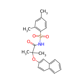 Cc1ccc(S(=O)(=O)NC(=O)C(C)(C)Oc2ccc3ccccc3c2)c(C)c1